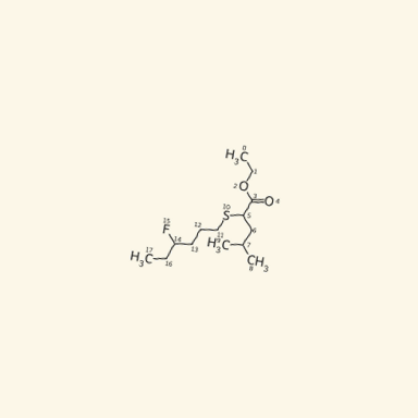 CCOC(=O)C(CC(C)C)SCCCC(F)CC